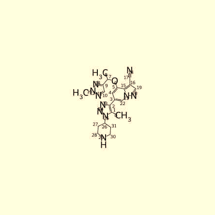 Cc1c(-c2cc(OC(C)c3cnn(C)n3)c3c(C#N)cnn3c2)nnn1C1CCNCC1